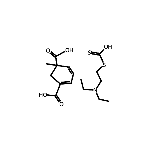 CC1(C(=O)O)C=CC=C(C(=O)O)C1.CCN(CC)CCSC(O)=S